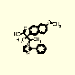 COc1ccc2cc(C(C)(C(=O)O)C(C)n3ccnc3-c3ccccc3)ccc2c1